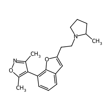 Cc1noc(C)c1-c1cccc2cc(CCN3CCCC3C)oc12